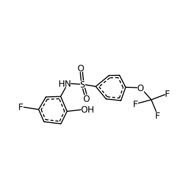 O=S(=O)(Nc1cc(F)ccc1O)c1ccc(OC(F)(F)F)cc1